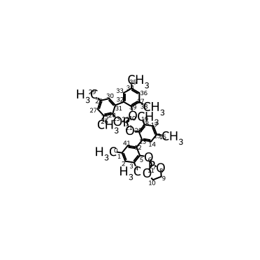 Cc1cc(C)c(OP2OCCO2)c(-c2cc(C)cc(C)c2Op2oc3c(C)cc(C)cc3c3cc(C)cc(C)c3o2)c1